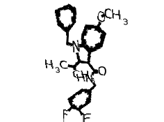 COc1ccc2c(c1)N(Cc1ccccc1)C(C(C)C)C2C(=O)NCc1ccc(F)c(F)c1